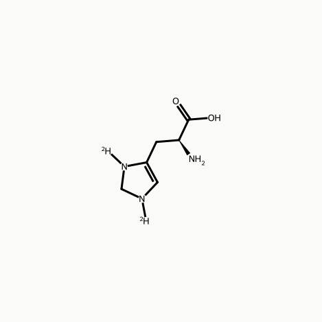 [2H]N1C=C(C[C@H](N)C(=O)O)N([2H])C1